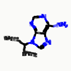 CCCCCC(CCCCC)n1cnc2c(N)ncnc21